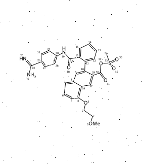 COCCOc1cccc2cc(-c3ccccc3C(=O)Nc3ccc(C(=N)N)cc3)c(C(=O)OS(C)(=O)=O)cc12